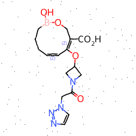 O=C(O)/C1=C(OC2CN(C(=O)Cn3ccnn3)C2)/C=C\CCCB(O)OC1